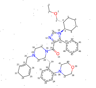 CCOC[C@@H]1CCCC[C@H]1n1cnc(C(=O)N2CCN(CC3=CCCC=C3)C[C@H]2Cc2ccccc2N2CCOCC2)c1-c1ccccc1